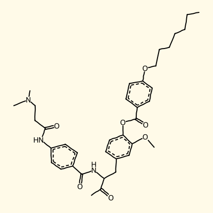 CCCCCCCOc1ccc(C(=O)Oc2ccc(CC(NC(=O)c3ccc(NC(=O)CCN(C)C)cc3)C(C)=O)cc2OC)cc1